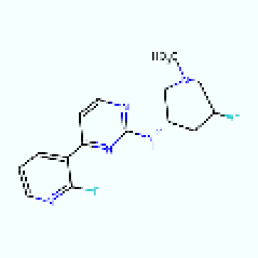 O=C(O)N1C[C@@H](F)C[C@H](Nc2nccc(-c3cccnc3F)n2)C1